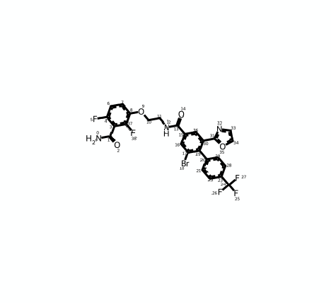 NC(=O)c1c(F)ccc(OCCNC(=O)c2cc(Br)c(-c3ccc(C(F)(F)F)cc3)c(-c3ncco3)c2)c1F